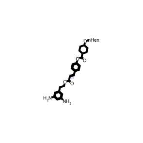 CCCCCCOC1CCC(C(=O)Oc2ccc(/C=C/C(=O)OCCc3cc(N)cc(N)c3)cc2)CC1